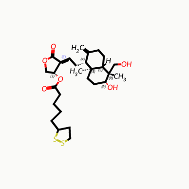 C=C1CC[C@@H]2[C@](C)(CO)[C@H](O)CC[C@@]2(C)[C@@H]1C/C=C1/C(=O)OC[C@H]1OC(=O)CCCCC1CCSS1